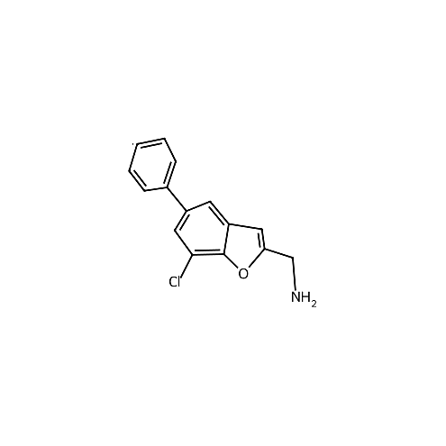 NCc1cc2cc(-c3cc[c]cc3)cc(Cl)c2o1